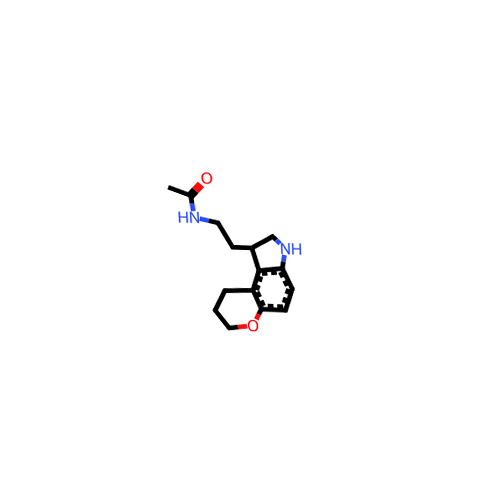 CC(=O)NCCC1CNc2ccc3c(c21)CCCO3